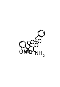 [2H][C@@]1(c2ccccc2OC)OC(N)=C(OS(=O)(=O)Cc2ccccc2)C1=O